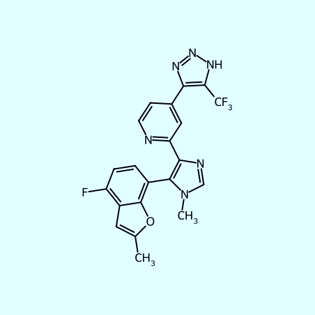 Cc1cc2c(F)ccc(-c3c(-c4cc(-c5nn[nH]c5C(F)(F)F)ccn4)ncn3C)c2o1